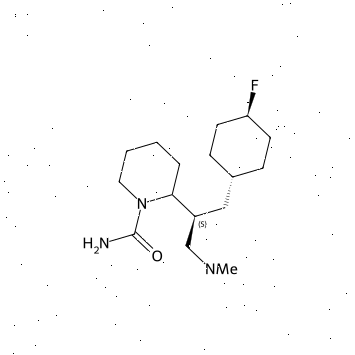 CNC[C@H](C[C@H]1CC[C@H](F)CC1)C1CCCCN1C(N)=O